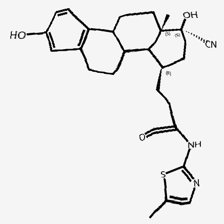 Cc1cnc(NC(=O)CC[C@@H]2C[C@@](O)(C#N)[C@@]3(C)CCC4c5ccc(O)cc5CCC4C23)s1